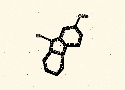 [CH2]Cn1c2ccccc2c2ccc(OC)cc21